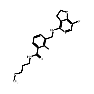 COCCCNC(=O)c1cccc(CNc2ncc(Br)c3c2CCO3)c1F